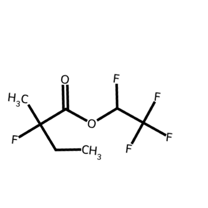 CCC(C)(F)C(=O)OC(F)C(F)(F)F